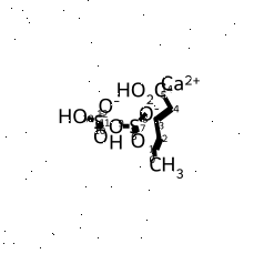 CC=CC=CC(=O)O.O=S([O-])O.O=S([O-])O.[Ca+2]